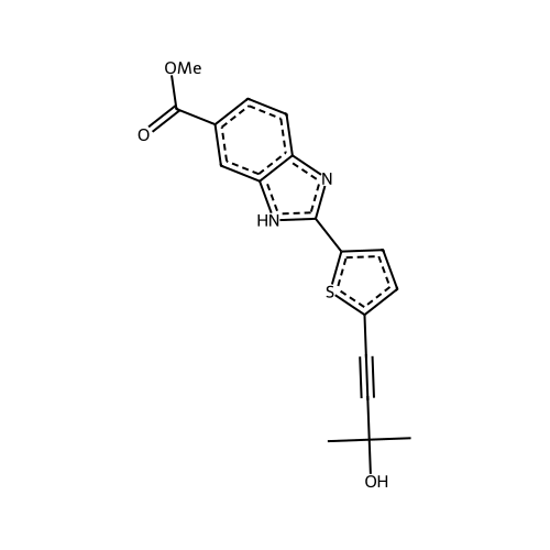 COC(=O)c1ccc2nc(-c3ccc(C#CC(C)(C)O)s3)[nH]c2c1